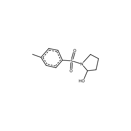 Cc1ccc(S(=O)(=O)N2CCCC2O)cc1